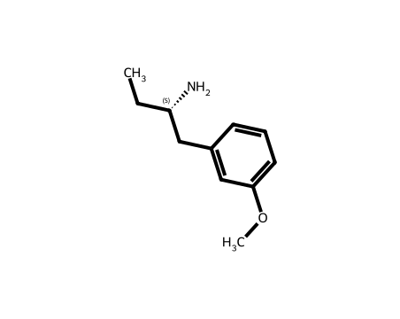 CC[C@H](N)Cc1cccc(OC)c1